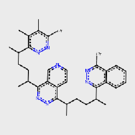 Cc1c(C(C)C)nnc(C(C)CCC(C)c2nnc(C(C)CCC(C)c3nnc(C(C)C)c4ccccc34)c3ccncc23)c1C